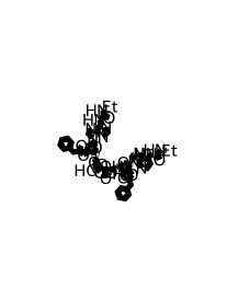 CCNC(=O)Nc1ncnc2c1ncn2[C@@H]1O[C@H](COP(=O)(O)OP(=O)(O)OC[C@H]2O[C@@H](n3cnc4c(NC(=O)NCC)ccnc43)C3OC(Cc4ccccc4)O[C@H]32)C2OC(Cc3ccccc3)OC21